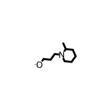 CC1CCCCN1CCC[O]